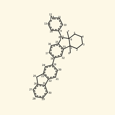 CC12CCCCC1(C)N(c1ccncc1)c1ccc(-c3ccc4c(c3)Cc3ccccc3-4)cc12